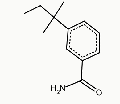 CCC(C)(C)c1cccc(C(N)=O)c1